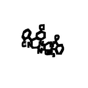 Cc1nc2n(c1CN1C(=O)c3ccccc3C1=O)-c1ccc(Cl)cc1C(c1ccccc1Cl)=NC2